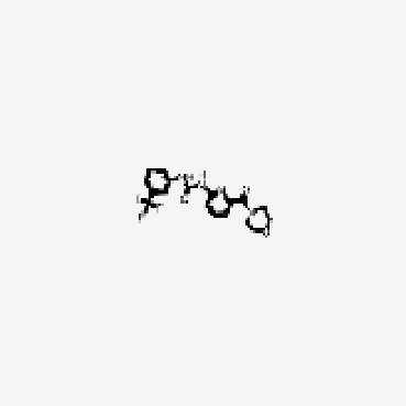 O=C(Nc1cccc(C(F)(F)F)c1)Nc1cccc(C(=O)N2CCOCC2)n1